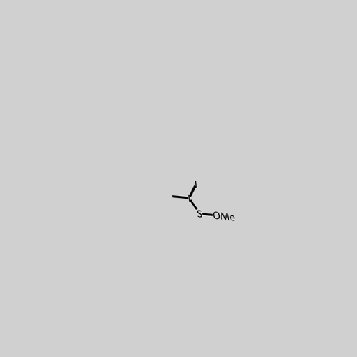 COSI(C)I